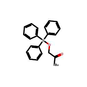 CCCCC(=O)CO[Si](c1ccccc1)(c1ccccc1)c1ccccc1